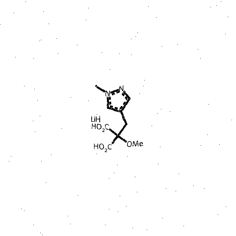 COC(Cc1cnn(C)c1)(C(=O)O)C(=O)O.[LiH]